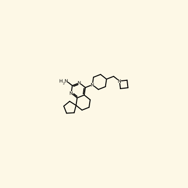 Nc1nc(N2CCC(CN3CCC3)CC2)c2c(n1)C1(CCCC1)CCC2